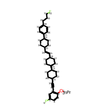 CCCOc1ccc(F)cc1C#CC1CCC(C2CCC(/C=C/C3CCC(c4ccc(CCCF)cc4)CC3)CC2)CC1